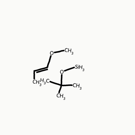 CC(C)(C)O[SiH3].CC=COC